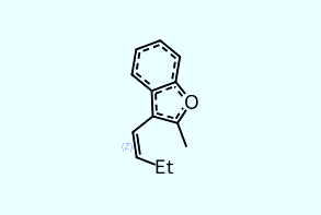 CC/C=C\c1c(C)oc2ccccc12